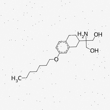 CCCCCCCOc1ccc2c(c1)CC(C(N)(CO)CO)CC2